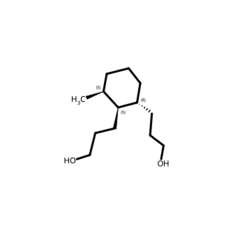 C[C@H]1CCC[C@H](CCCO)[C@H]1CCCO